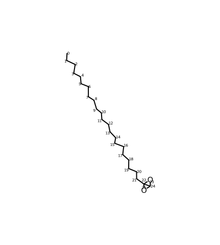 CCCCCCCCCCCCCCCCCCCCCCC12OC1O2